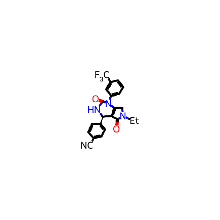 CCN1CC2=C(C1=O)[C@@H](c1ccc(C#N)cc1)NC(=O)N2c1cccc(C(F)(F)F)c1